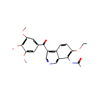 CCOc1ccc2c(C(=O)c3cc(OC)c(OC)c(OC)c3)cncc2c1NC(C)=O